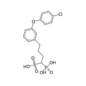 O=P(O)(O)C(CCCc1cccc(Oc2ccc(Cl)cc2)c1)S(=O)(=O)O